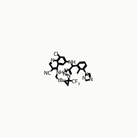 Cc1c(C(Nc2cc(Cl)c3ncc(C#N)c(NCC(C)(C)C)c3c2)c2cn(C3(C(F)(F)F)CC3)nn2)cccc1-n1cncn1